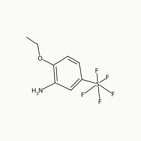 CCOc1ccc(S(F)(F)(F)(F)F)cc1N